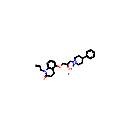 C=CCN1C(=O)CCc2c(OCC(O)C[N+]3(C)CCC(c4ccccc4)CC3)cccc21.[I-]